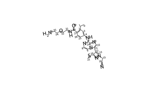 CCc1cc(Nc2nccn3c(-c4cn(CC#N)nc4SC)cnc23)ccc1C(=O)NCCOCCN